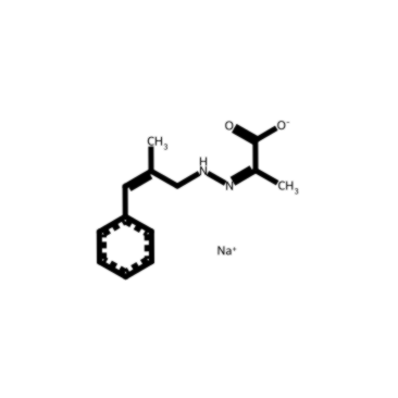 CC(=Cc1ccccc1)CNN=C(C)C(=O)[O-].[Na+]